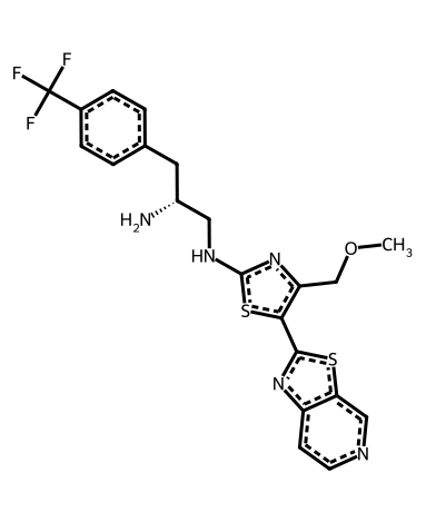 COCc1nc(NC[C@H](N)Cc2ccc(C(F)(F)F)cc2)sc1-c1nc2ccncc2s1